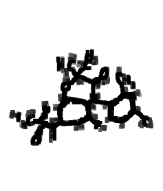 Cc1nc(Cl)ccc1N1C(=O)C(C)(C)Oc2cc(NS(C)(=O)=O)cc(F)c21